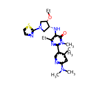 CCO[C@H]1CN(c2nccs2)C[C@H]1Nc1c(CC)nc(-c2cnc(N(C)C)cc2C)n(C)c1=O